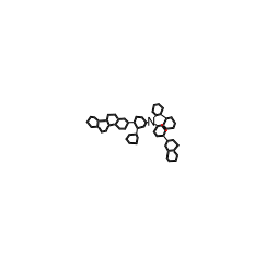 c1ccc(-c2cc(N(c3ccc(-c4ccc5ccccc5c4)cc3)c3ccccc3-c3ccccc3)ccc2-c2ccc3c(ccc4c5ccccc5ccc34)c2)cc1